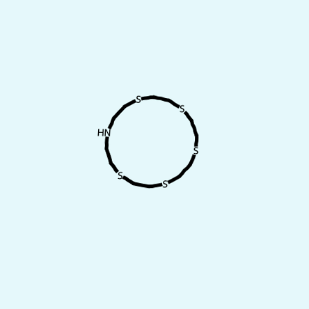 C1CSCCSCCSCCSCCSCCN1